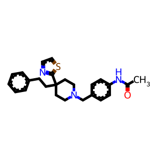 CC(=O)Nc1ccc(CN2CCC(CCc3ccccc3)(c3nccs3)CC2)cc1